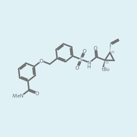 C=C[C@@H]1C[C@@]1(C(=O)NS(=O)(=O)c1cccc(COc2cccc(C(=O)NC)c2)c1)C(C)(C)C